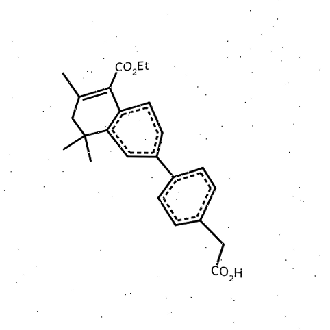 CCOC(=O)C1=C(C)CC(C)(C)c2cc(-c3ccc(CC(=O)O)cc3)ccc21